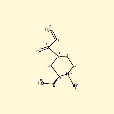 C=CC(=O)N1CCN(C(C)C)[C@@H](CO)C1